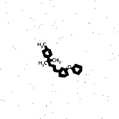 Cc1ccc(C(C)(C)CC=Cc2cccc(Oc3ccccc3)c2)cc1